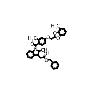 Cc1cc(OCC2Oc3cccc(C)c3O2)ccc1C(=O)N1c2ccccc2C(CC(=O)OCc2ccccc2)C1C